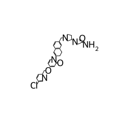 C[N+](C)(CC(N)=O)C1CCN(Cc2ccc3c(c2)CCC(n2ccc(OCc4ccc(Cl)cn4)cc2=O)=C3)C1